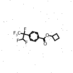 O=C(OC1CCC1)c1ccc(C(F)(C(F)F)C(F)(F)F)cc1